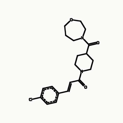 O=C(/C=C/c1ccc(Cl)cc1)N1CCC(C(=O)N2CCCOCC2)CC1